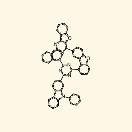 c1ccc(-c2nc(-c3ccc4c5ccccc5n(-c5ccccc5)c4c3)nc(-c3cccc4oc5ccc(-c6nc(-c7ccccc7)nc7c6oc6ccccc67)cc5c34)n2)cc1